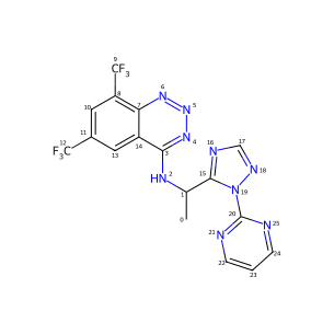 CC(Nc1nnnc2c(C(F)(F)F)cc(C(F)(F)F)cc12)c1ncnn1-c1ncccn1